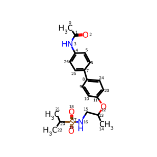 CC(=O)Nc1ccc(-c2ccc(OC(C)CNS(=O)(=O)C(C)C)cc2)cc1